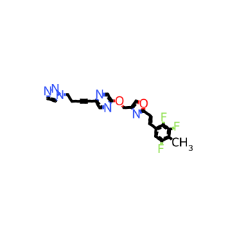 Cc1c(F)cc(C=Cc2nc(COc3cnc(C#CCCn4ccnn4)cn3)co2)c(F)c1F